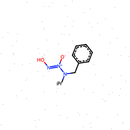 CC(C)N(Cc1ccccc1)/[N+]([O-])=N/O